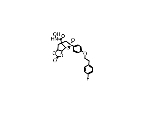 O=C1OC2CC(CS(=O)(=O)c3ccc(OCCc4ccc(F)cc4)cc3)(C(=O)NO)CC2O1